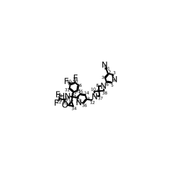 N#Cc1cncc(N2CC3(CN(Cc4ccc(C(NC(=O)C(F)F)(c5ccc(F)c(F)c5)C5CC5)nc4)C3)C2)c1